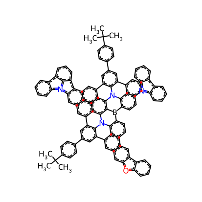 CC(C)(C)c1ccc(-c2cc(-c3ccccc3)c(N3c4cc(-c5ccc6oc7ccccc7c6c5)ccc4B4c5ccc(-n6c7ccccc7c7ccccc76)cc5N(c5c(-c6ccccc6)cc(-c6ccc(C(C)(C)C)cc6)cc5-c5ccccc5)c5cc(-c6ccc7c(c6)c6cccc8c9ccccc9n7c86)cc3c54)c(-c3ccccc3)c2)cc1